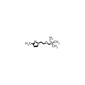 Cc1ccn(CCOC[Si](C)(C)C)n1